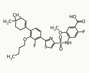 CCCCOc1c(C2=CCC(C)(C)CC2)ccc(-c2nc(S(=O)(=O)Nc3cc(F)c(C(=O)O)cc3OC)cs2)c1F